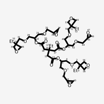 CCC1(COCC(COCC2CO2)OC(=O)CC(CC)(CC(=O)OC(COCC2CO2)COCC2(CC)COC2)CC(=O)OC(COCC2CO2)COCC2(CC)COC2)COC1